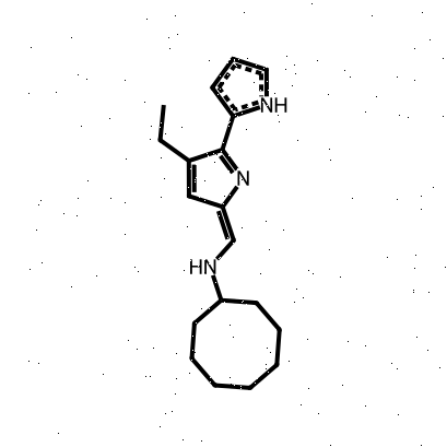 CCC1=C/C(=C\NC2CCCCCCC2)N=C1c1ccc[nH]1